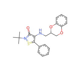 CC(C)(C)n1sc(-c2ccccc2)c(NCC2COc3ccccc3O2)c1=O